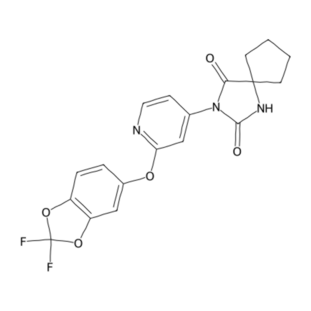 O=C1NC2(CCCC2)C(=O)N1c1ccnc(Oc2ccc3c(c2)OC(F)(F)O3)c1